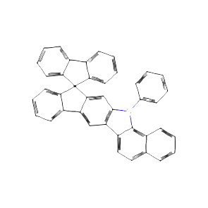 c1ccc(-n2c3cc4c(cc3c3ccc5ccccc5c32)-c2ccccc2C42c3ccccc3-c3ccccc32)cc1